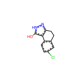 Oc1[nH]nc2c1-c1ccc(Cl)cc1CC2